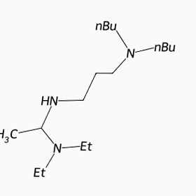 CCCCN(CCCC)CCCNC(C)N(CC)CC